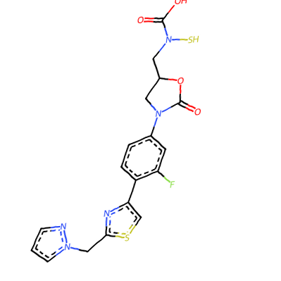 O=C(O)N(S)CC1CN(c2ccc(-c3csc(Cn4cccn4)n3)c(F)c2)C(=O)O1